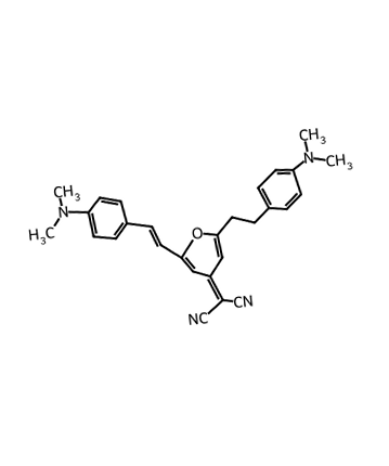 CN(C)c1ccc(/C=C/C2=CC(=C(C#N)C#N)C=C(CCc3ccc(N(C)C)cc3)O2)cc1